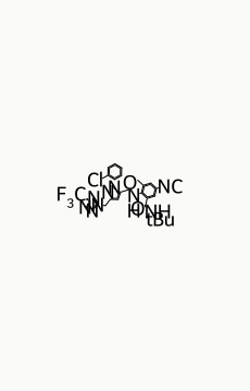 [C-]#[N+]c1cc(C)c(NC(=O)c2cc(Cn3nnc(C(F)(F)F)n3)nn2-c2ccccc2Cl)c(C(=O)NC(C)(C)C)c1